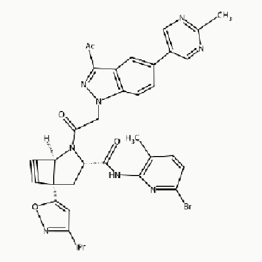 CC(=O)c1nn(CC(=O)N2[C@H](C(=O)Nc3nc(Br)ccc3C)C[C@@]3(c4cc(C(C)C)no4)C#C[C@@H]23)c2ccc(-c3cnc(C)nc3)cc12